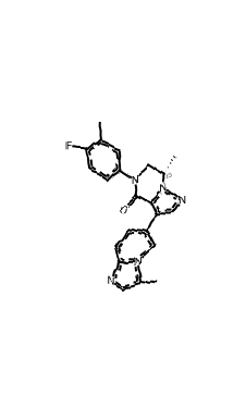 Cc1cc(N2C[C@H](C)n3ncc(-c4ccc5ncc(C)n5c4)c3C2=O)ccc1F